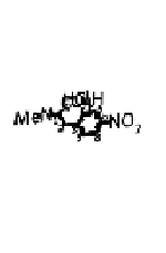 CNC(Cc1ccc([N+](=O)[O-])cc1)C(=O)O.Cl